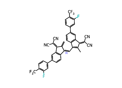 C=C1C(=C(C#N)C#N)c2cc(-c3ccc(C(F)(F)F)c(F)c3)ccc2/C1=C/C1=C(C)C(=C(C#N)C#N)c2cc(-c3ccc(C(F)(F)F)c(F)c3)ccc21